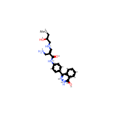 COCC(O)CN/C=C(\CN)C(=O)Nc1ccc(-c2n[nH]c(=O)c3ccccc23)cc1